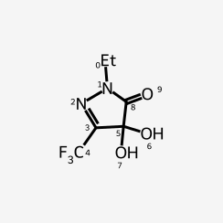 CCN1N=C(C(F)(F)F)C(O)(O)C1=O